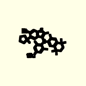 CCc1cc2sc(C)c(B(c3cc4c(cc3C)C(C)(C)CCC4(C)C)c3c(C)cc(C(C)(C)C)cc3C)c2cc1C1(C)CCCC1